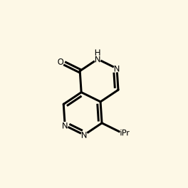 CC(C)c1nncc2c(=O)[nH]ncc12